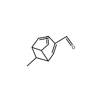 CC1C2C=CC(C=O)=CC1C2C=O